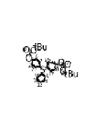 CC(C)(C)OC(=O)Oc1ccc([S+](c2ccccc2)c2ccc(OC(=O)OC(C)(C)C)cc2)cc1